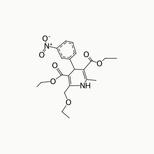 CCOCC1=C(C(=O)OCC)C(c2cccc([N+](=O)[O-])c2)C(C(=O)OCC)=C(C)N1